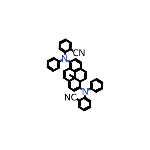 CC12C3=CC=C(N(c4ccccc4)c4ccccc4C#N)C1C=Cc1ccc(N(c4ccccc4)c4ccccc4C#N)c(c12)C=C3